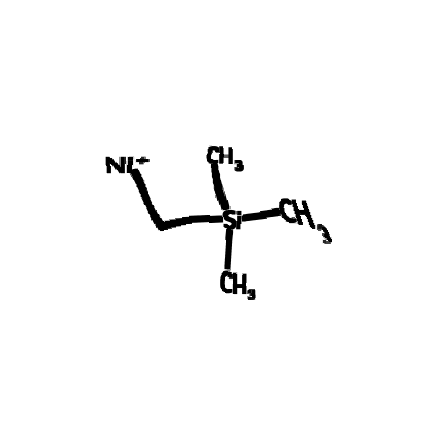 C[Si](C)(C)[CH2][Ni+]